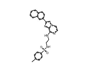 Cc1ccc(S(=O)(=O)NCCNc2nccn3cc(-c4ccc5ccccc5c4)nc23)cc1